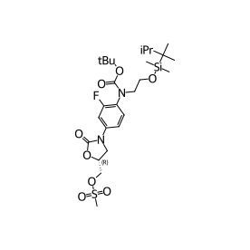 CC(C)C(C)(C)[Si](C)(C)OCCN(C(=O)OC(C)(C)C)c1ccc(N2C[C@H](COS(C)(=O)=O)OC2=O)cc1F